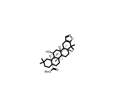 COC(=O)[C@]12CCC(C)(C)C[C@H]1[C@H]1[C@@H](O)C[C@@H]3[C@@]4(C)Cc5cnoc5C(C)(C)[C@@H]4CC[C@@]3(C)[C@]1(C)CC2